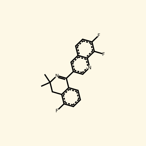 CC1(C)Cc2c(F)cccc2C(c2cnc3c(F)c(F)ccc3c2)=N1